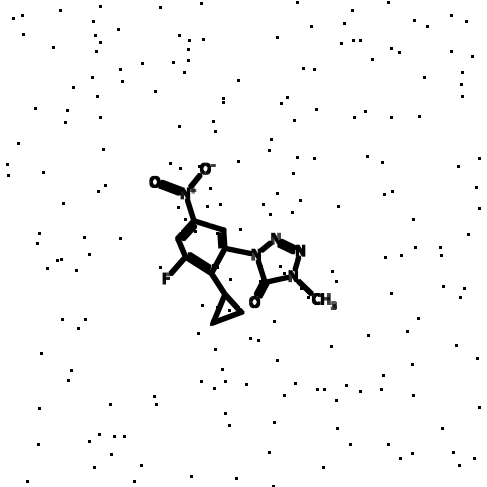 Cn1nnn(-c2cc([N+](=O)[O-])cc(F)c2C2CC2)c1=O